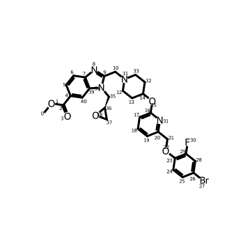 COC(=O)c1ccc2nc(CN3CCC(Oc4cccc(COc5ccc(Br)cc5F)n4)CC3)n(C[C@H]3CO3)c2c1